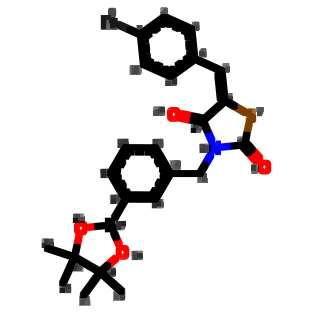 CCc1ccc(C=C2SC(=O)N(Cc3cccc(B4OC(C)(C)C(C)(C)O4)c3)C2=O)cc1